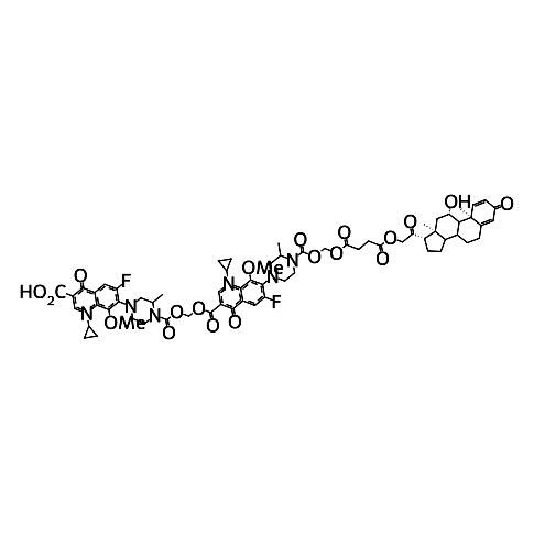 COc1c(N2CCN(C(=O)OCOC(=O)c3cn(C4CC4)c4c(OC)c(N5CCN(C(=O)OCOC(=O)CCC(=O)OCC(=O)[C@H]6CCC7C8CCC9=CC(=O)C=C[C@]9(C)C8[C@@H](O)C[C@@]76C)C(C)C5)c(F)cc4c3=O)C(C)C2)c(F)cc2c(=O)c(C(=O)O)cn(C3CC3)c12